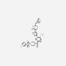 Cc1nc(CNC(C)C)ccc1-n1cc(-c2nc(NC3CCN(S(=O)(=O)c4cn(C)cn4)CC3)ncc2C(F)(F)F)cn1